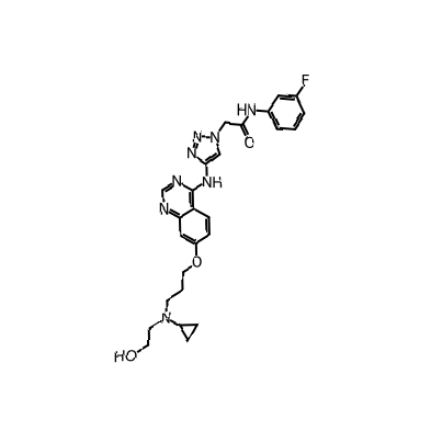 O=C(Cn1cc(Nc2ncnc3cc(OCCCN(CCO)C4CC4)ccc23)nn1)Nc1cccc(F)c1